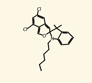 CCCCCCN1c2ccccc2C(C)(C)C12C=c1cc(Cl)cc(Cl)c1=CO2